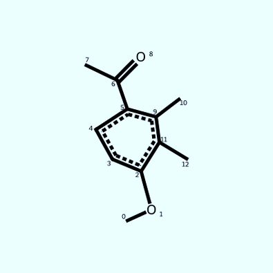 COc1ccc(C(C)=O)c(C)c1C